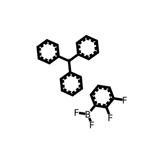 FB(F)c1cccc(F)c1F.c1ccc([C](c2ccccc2)c2ccccc2)cc1